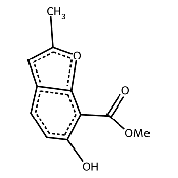 COC(=O)c1c(O)ccc2cc(C)oc12